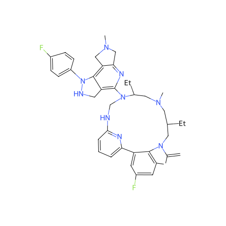 C=C(C)N1CC(CC)CN(C)CC(CC)N(c2nc3c(c4c2CNN4c2ccc(F)cc2)CN(C)C3)CNc2cccc(n2)-c2cc(F)cc(C)c21